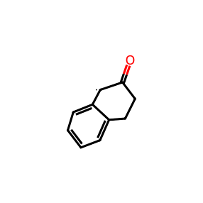 O=C1[CH]c2ccccc2CC1